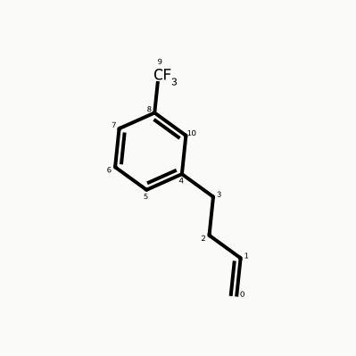 C=CCCc1cccc(C(F)(F)F)c1